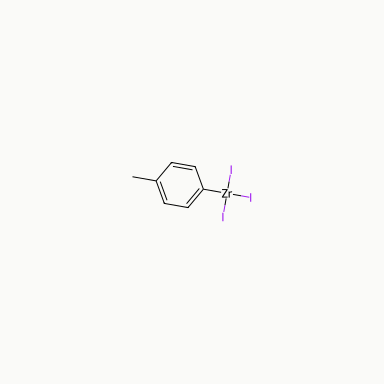 Cc1cc[c]([Zr]([I])([I])[I])cc1